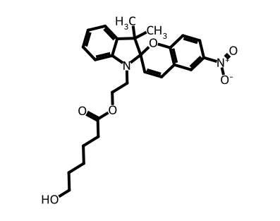 CC1(C)c2ccccc2N(CCOC(=O)CCCCCO)C12C=Cc1cc([N+](=O)[O-])ccc1O2